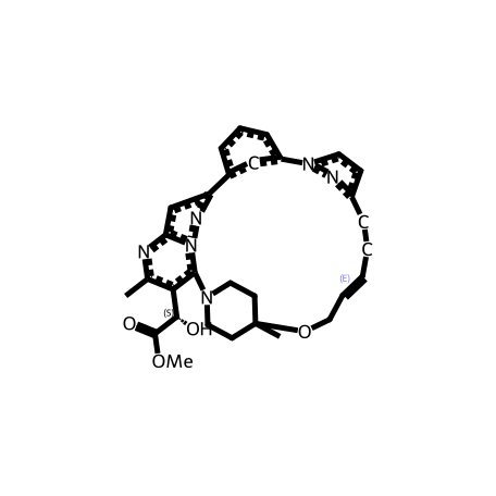 COC(=O)[C@@H](O)c1c(C)nc2cc3nn2c1N1CCC(C)(CC1)OC/C=C/CCc1ccn(n1)-c1cccc-3c1